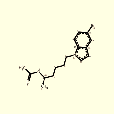 CC(=O)O[C@H](C)CCCCn1ccc2cc(Br)ccc21